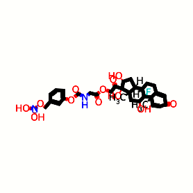 C[C@]12C=CC(=O)C=C1CC[C@H]1[C@@H]3C[C@@H](O)[C@](O)(C(=O)COC(=O)CNC(=O)Oc4cccc(CON(O)O)c4)[C@@]3(C)C[C@H](O)[C@@]12F